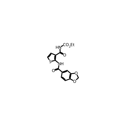 CCOC(=O)NC(=O)c1ccsc1NC(=O)c1ccc2c(c1)OCO2